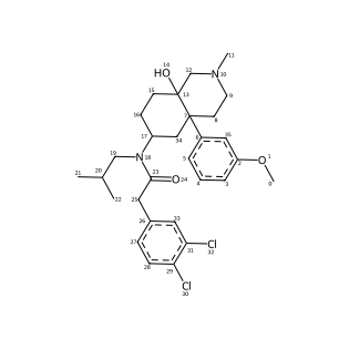 COc1cccc(C23CCN(C)CC2(O)CCC(N(CC(C)C)C(=O)Cc2ccc(Cl)c(Cl)c2)C3)c1